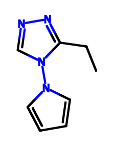 CCc1nncn1-n1cccc1